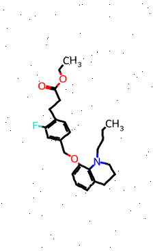 CCCCN1CCCc2cccc(OCc3ccc(CCC(=O)OCC)c(F)c3)c21